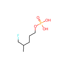 CC(CF)CCCOP(=O)(O)O